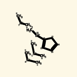 C[N-]C.C[N-]C.C[N-]C.[CH3][Ti+3][C]1=CC=CC1